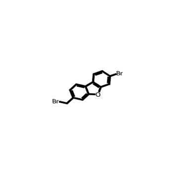 BrCc1ccc2c(c1)oc1cc(Br)ccc12